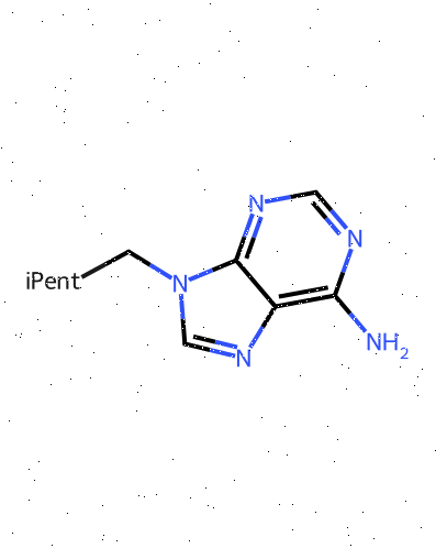 CCCC(C)Cn1cnc2c(N)ncnc21